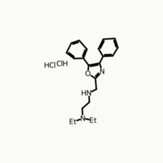 CCN(CC)CCNCc1nc(-c2ccccc2)c(-c2ccccc2)o1.Cl.Cl